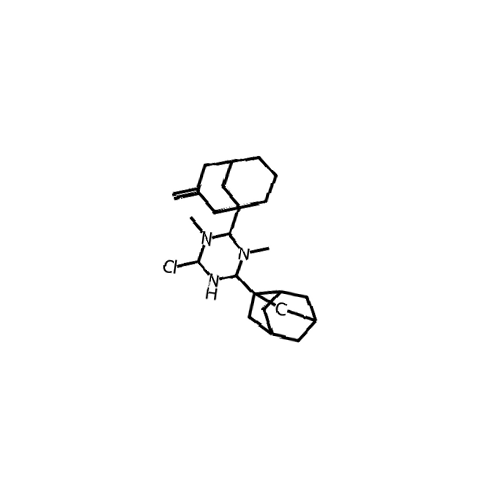 C=C1CC2CCCC(C3N(C)C(Cl)NC(C45CC6CC(CC4C6)C5)N3C)(C1)C2